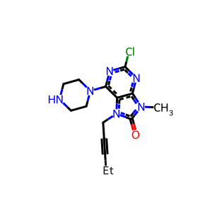 CCC#CCn1c(=O)n(C)c2nc(Cl)nc(N3CCNCC3)c21